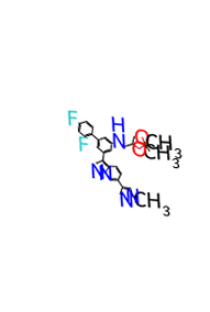 Cn1cc(-c2ccc3c(-c4cc(NCC5COC(C)(C)O5)cc(-c5ccc(F)cc5F)c4)cnn3c2)cn1